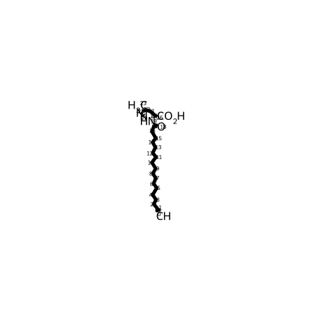 C#CCCCCCCCCCCCCCCCC(=O)N[C@@H](CC1(C)N=N1)C(=O)O